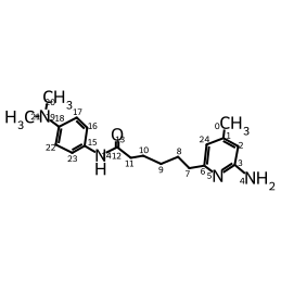 Cc1cc(N)nc(CCCCCC(=O)Nc2ccc(N(C)C)cc2)c1